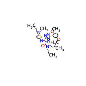 CCCCN(CCCC)C(=O)C1=Nn2c(nnc2-c2cc(OC)ccc2OC)/C1=N\c1ccc(N(CC)CCCC)s1